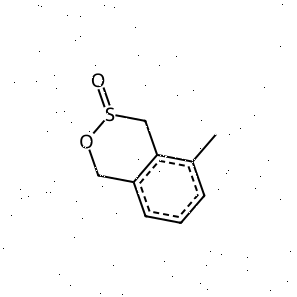 Cc1cccc2c1CS(=O)OC2